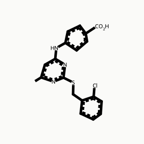 Cc1cc(Nc2ccc(C(=O)O)cc2)nc(SCc2ccccc2Cl)n1